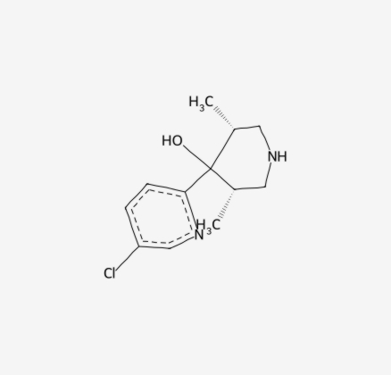 C[C@@H]1CNC[C@H](C)C1(O)c1ccc(Cl)cn1